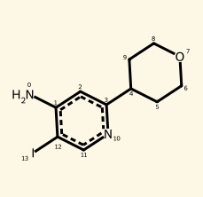 Nc1cc(C2CCOCC2)ncc1I